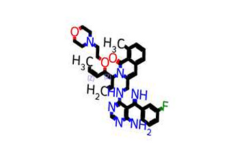 C=C/C(=C(\C=C/C)OCCN1CCOCC1)n1c(CNc2ncnc(N)c2C(=N)c2cccc(F)c2)cc2cccc(C)c2c1=O